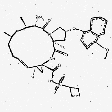 COc1cnc(O[C@@H]2C[C@H]3C(=O)N[C@]4(C(=O)NS(=O)(=O)C5CCC5)C[C@H]4/C=C\CCC(C)C[C@@H](C)[C@H](N)C(=O)N3C2)c2ccccc12